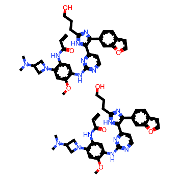 C=CC(=O)Nc1cc(Nc2nccc(-c3[nH]c(CCCO)nc3-c3ccc4ccoc4c3)n2)c(OC)cc1N1CC(N(C)C)C1.C=CC(=O)Nc1cc(Nc2nccc(-c3[nH]c(CCCO)nc3-c3ccc4ccoc4c3)n2)c(OC)cc1N1CC(N(C)C)C1